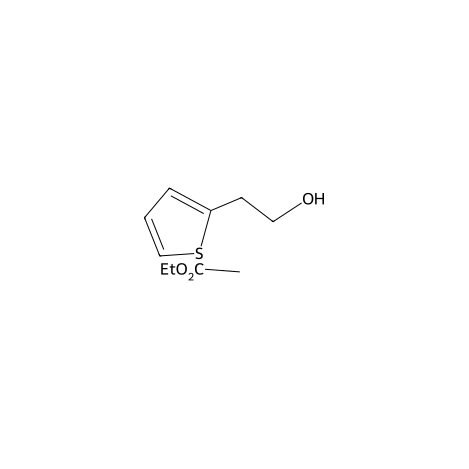 CCOC(C)=O.OCCc1cccs1